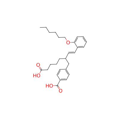 CCCCCCOc1ccccc1/C=C/C(CCCCC(=O)O)Cc1ccc(C(=O)O)cc1